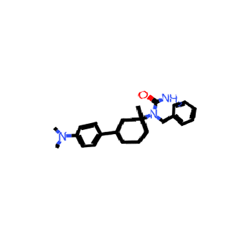 CN(C)c1ccc(C2CCCC(C)(N(Cc3ccccc3)C(N)=O)C2)cc1